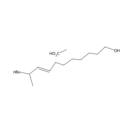 CC(=O)O.CCCCC(C)C=CCCCCCCCO